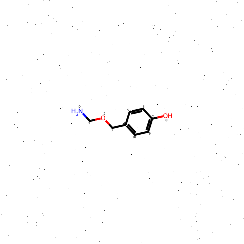 NCOCc1ccc(O)cc1